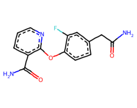 NC(=O)Cc1ccc(Oc2ncccc2C(N)=O)c(F)c1